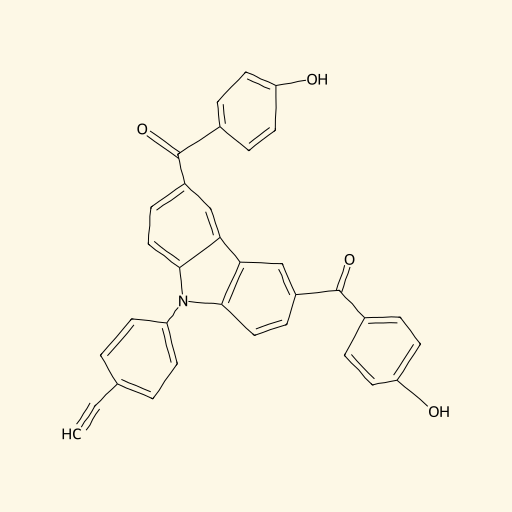 C#Cc1ccc(-n2c3ccc(C(=O)c4ccc(O)cc4)cc3c3cc(C(=O)c4ccc(O)cc4)ccc32)cc1